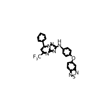 FC(F)(F)c1cc(-c2ccccc2)n2nc(Nc3ccc(Oc4ccc5nsnc5c4)cc3)nc2n1